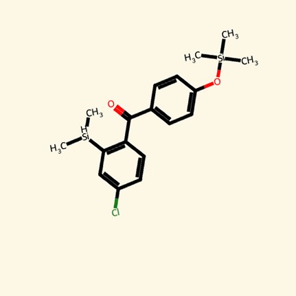 C[SiH](C)c1cc(Cl)ccc1C(=O)c1ccc(O[Si](C)(C)C)cc1